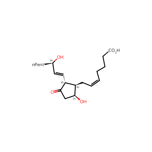 CCCCC[C@@H](O)/C=C/[C@H]1C(=O)C[C@H](O)[C@@H]1C/C=C\CCCC(=O)O